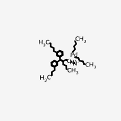 CCCCC[CH2][Pd][CH2]CCCCC.CCCCCc1cccc(C(=C(C=C=[N+]=[N-])CCCC)c2cccc(CCCC)c2)c1